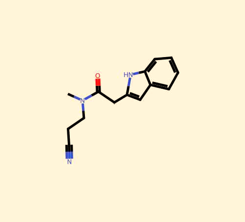 CN(CCC#N)C(=O)[CH]c1cc2ccccc2[nH]1